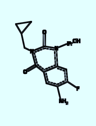 CC(C)n1c(=O)n(CC2CC2)c(=O)c2cc(N)c(F)cc21.Cl